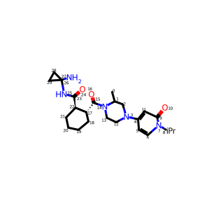 CC1CN(c2ccn(C(C)C)c(=O)c2)CCN1C(=O)[C@@H]1CCCC[C@H]1C(=O)NC1(N)CC1